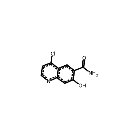 NC(=O)c1cc2c(Cl)ccnc2cc1O